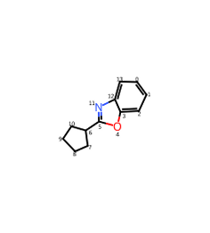 c1ccc2oc(C3CCCC3)nc2c1